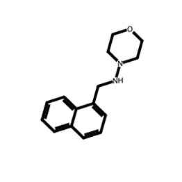 c1ccc2c(CNN3CCOCC3)cccc2c1